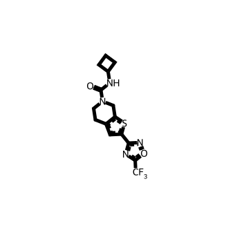 O=C(NC1CCC1)N1CCc2cc(-c3noc(C(F)(F)F)n3)sc2C1